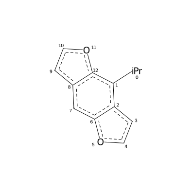 CC(C)c1c2ccoc2cc2ccoc12